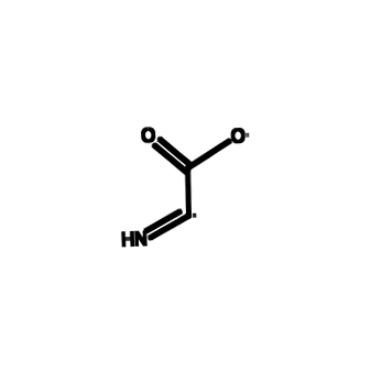 N=[C]C([O])=O